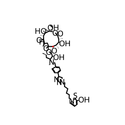 CC[C@H]1OC(=O)[C@H](C)[C@@H](O)[C@H](C)[C@@H](O[C@@H]2O[C@H](C)C[C@H](N(C)Cc3ccc(C4CN(CCCCCCn5cccc(O)c5=S)N=N4)cc3)[C@H]2O)[C@@]2(C)C[C@@H](CO2)C(=O)[C@H](C)[C@@H](O)[C@]1(C)O